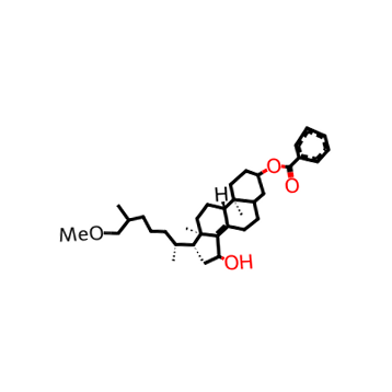 COCC(C)CCC[C@@H](C)[C@H]1CC(O)C2=C3CCC4CC(OC(=O)c5ccccc5)CC[C@]4(C)[C@H]3CC[C@@]21C